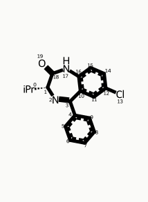 CC(C)[C@H]1N=C(c2ccccc2)c2cc(Cl)ccc2NC1=O